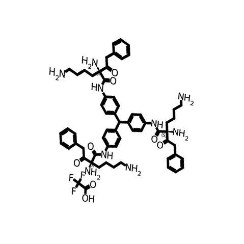 NCCCC[C@](N)(C(=O)Cc1ccccc1)C(=O)Nc1ccc(C(c2ccc(NC(=O)[C@](N)(CCCCN)C(=O)Cc3ccccc3)cc2)c2ccc(NC(=O)[C@](N)(CCCCN)C(=O)Cc3ccccc3)cc2)cc1.O=C(O)C(F)(F)F